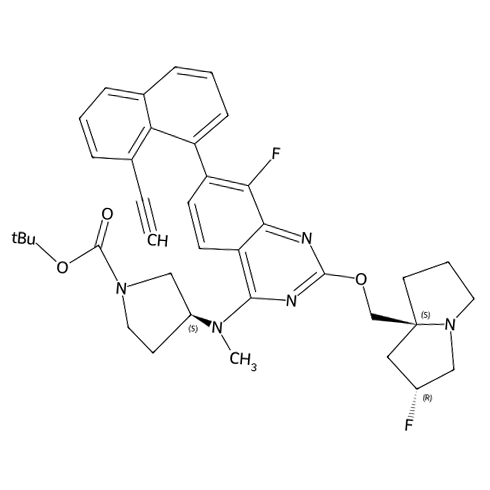 C#Cc1cccc2cccc(-c3ccc4c(N(C)[C@H]5CCN(C(=O)OC(C)(C)C)C5)nc(OC[C@@]56CCCN5C[C@H](F)C6)nc4c3F)c12